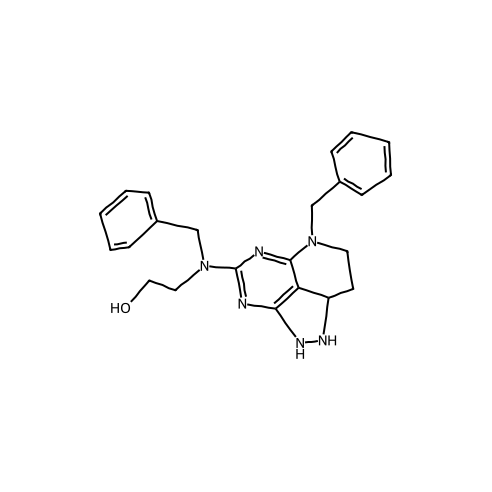 OCCN(Cc1ccccc1)c1nc2c3c(n1)N(Cc1ccccc1)CCC3NN2